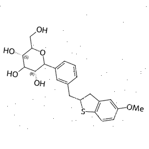 COc1ccc2c(c1)CC(Cc1cccc(C3OC(CO)[C@@H](O)C(O)[C@H]3O)c1)S2